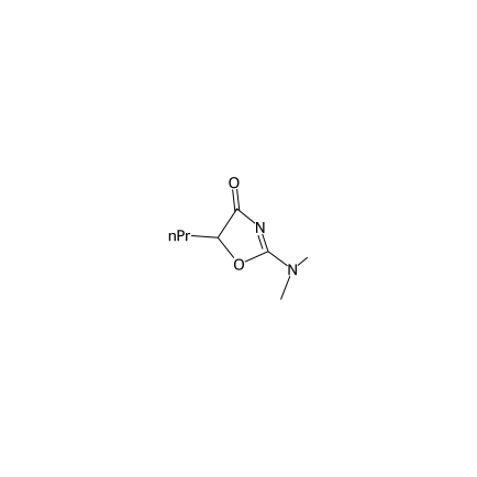 CCCC1OC(N(C)C)=NC1=O